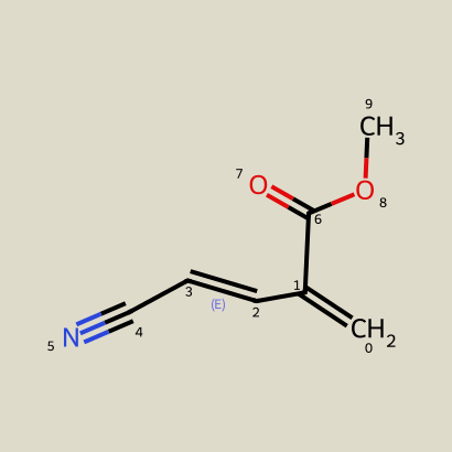 C=C(/C=C/C#N)C(=O)OC